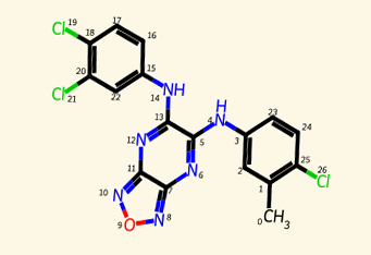 Cc1cc(Nc2nc3nonc3nc2Nc2ccc(Cl)c(Cl)c2)ccc1Cl